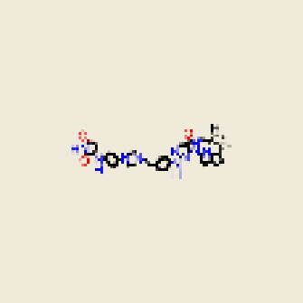 C=CCn1c(=O)c2cnc(Nc3ccc(CCN4CCN(c5ccc(NC6CCC(=O)NC6=O)cc5)CC4)cc3)nc2n1-c1ccc2c(n1)C(CC)CC2